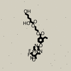 CCc1cc(Oc2nccn3c(-c4conc4C(F)(F)F)cnc23)ccc1C(=O)OCCCOC(=O)[C@@H](O)CCCCO